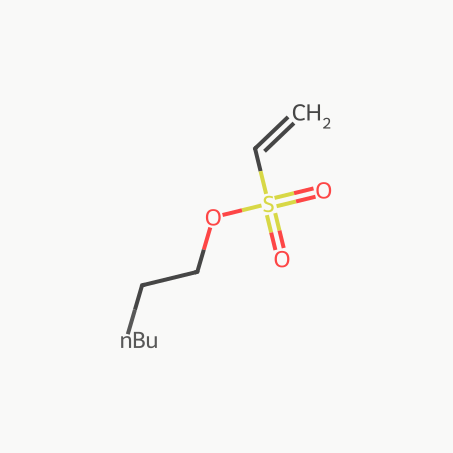 C=CS(=O)(=O)OCCCCCC